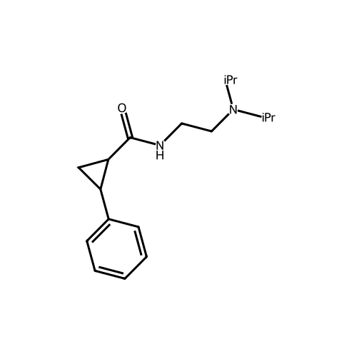 CC(C)N(CCNC(=O)C1CC1c1ccccc1)C(C)C